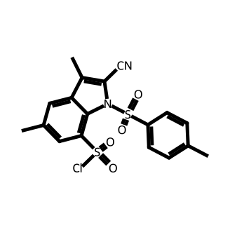 Cc1ccc(S(=O)(=O)n2c(C#N)c(C)c3cc(C)cc(S(=O)(=O)Cl)c32)cc1